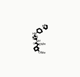 COc1cccc([C@H](OC)C(=O)Nc2nnc(N[C@H]3CC[C@@H](c4cccnn4)CC3)s2)c1